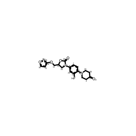 O=C1CCN(c2ccc(N3CC(COc4ccon4)OC3=O)cc2F)CC1